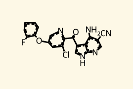 N#Cc1cnc2[nH]cc(C(=O)c3ncc(Oc4ccccc4F)cc3Cl)c2c1N